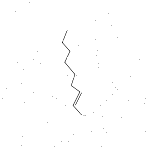 [CH2]C=CCCCCCC